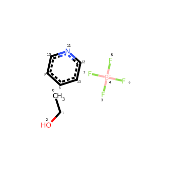 CCO.F[B-](F)(F)F.c1ccncc1